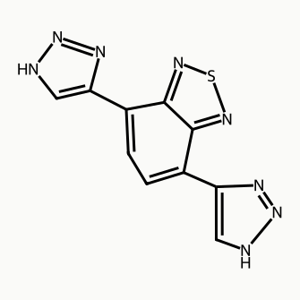 c1[nH]nnc1-c1ccc(-c2c[nH]nn2)c2nsnc12